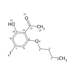 CCCCOc1cc(I)cc(O)c1C(C)=O